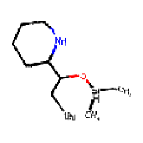 C[SiH](C)OC(CC(C)(C)C)C1CCCCN1